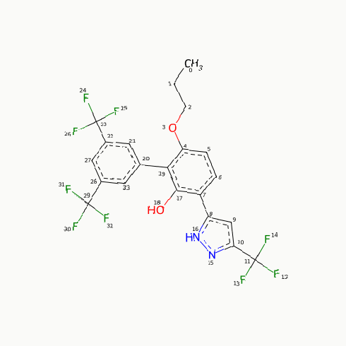 CCCOc1ccc(-c2cc(C(F)(F)F)n[nH]2)c(O)c1-c1cc(C(F)(F)F)cc(C(F)(F)F)c1